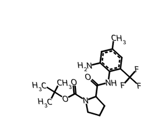 Cc1cc(N)c(NC(=O)C2CCCN2C(=O)OC(C)(C)C)c(C(F)(F)F)c1